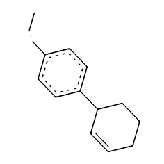 COc1ccc(C2C=CCCC2)cc1